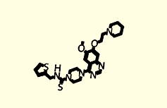 COc1cc2c(N3CCN(C(=S)NCc4cccs4)CC3)ncnc2cc1OCCN1CCCCC1